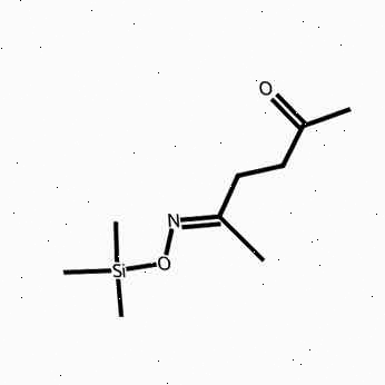 CC(=O)CC/C(C)=N/O[Si](C)(C)C